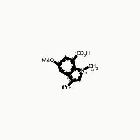 COc1cc(C(=O)O)c2c(c1)c(C(C)C)cn2C